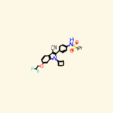 CC(C)S(=O)(=O)Nc1ccc(-c2c(C#N)c3ccc(OCC(F)F)cc3n2C2CCC2)cc1